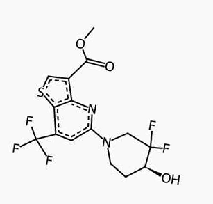 COC(=O)c1csc2c(C(F)(F)F)cc(N3CC[C@H](O)C(F)(F)C3)nc12